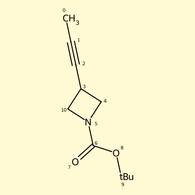 CC#CC1CN(C(=O)OC(C)(C)C)C1